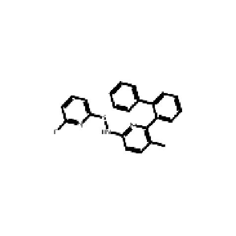 Cc1ccc(NSc2cccc(F)n2)nc1-c1ccccc1-c1ccccc1